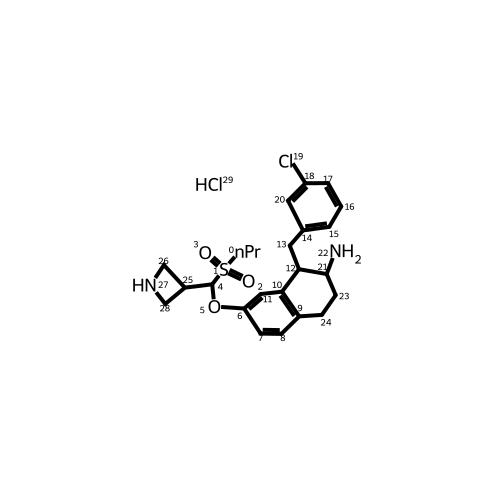 CCCS(=O)(=O)C(Oc1ccc2c(c1)C(Cc1cccc(Cl)c1)C(N)CC2)C1CNC1.Cl